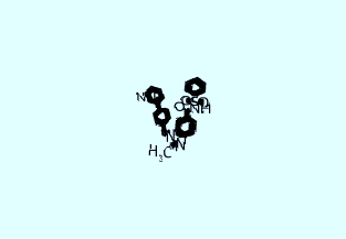 Cc1nc2ccc(C(=O)NS(=O)(=O)c3ccccc3)cc2n1Cc1ccc(-c2ccccc2)cc1.[NaH]